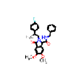 COc1cc2c(cc1OC)C(C(=O)NCc1ccccc1)N(CC(C)c1ccc(F)cc1)C2=O